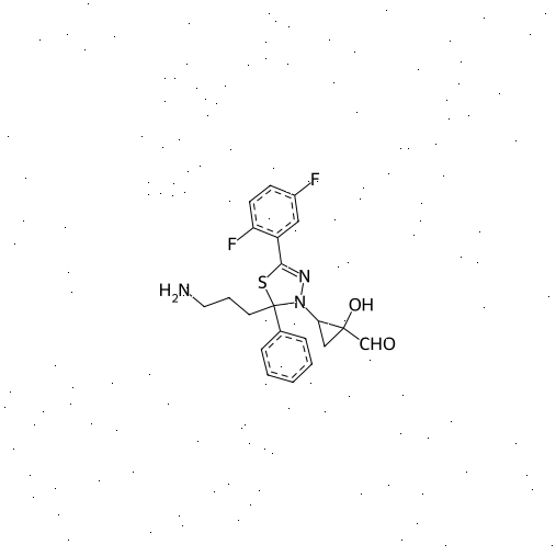 NCCCC1(c2ccccc2)SC(c2cc(F)ccc2F)=NN1C1CC1(O)C=O